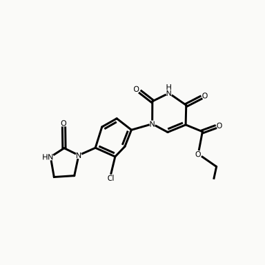 CCOC(=O)c1cn(-c2ccc(N3CCNC3=O)c(Cl)c2)c(=O)[nH]c1=O